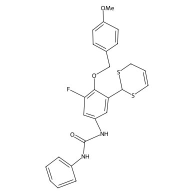 COc1ccc(COc2c(F)cc(NC(=O)Nc3ccccc3)cc2C2SC=CCS2)cc1